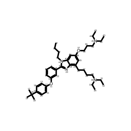 CCCCn1c(-c2cccc(Oc3ccc(C(C)(C)C)cc3)c2)nc2c(CCCCN(CC)CC)cc(OCCCN(CC)CC)cc21